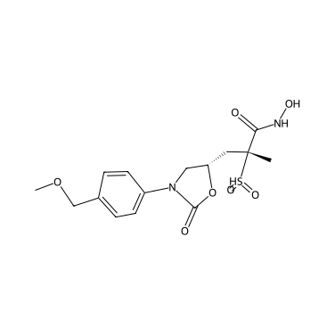 COCc1ccc(N2C[C@H](C[C@](C)(C(=O)NO)[SH](=O)=O)OC2=O)cc1